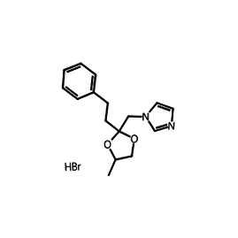 Br.CC1COC(CCc2ccccc2)(Cn2ccnc2)O1